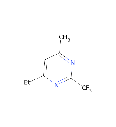 CCc1cc(C)nc(C(F)(F)F)n1